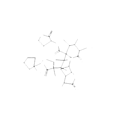 CCC1(OC(=O)C(C)(CC(C)(C)C)C(C)C(C)(C)C(C)(C(=O)OC2CCOC2=O)C(C)C(C)C(C(=O)OC2CC3C(C)C(=O)OC23)C(C)(C)C)CCCC1